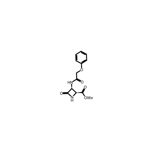 COC(=O)[C@H]1NC(=O)[C@H]1NC(=O)COc1ccccc1